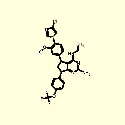 CCNc1nc(N)nc2c1C(c1ccc(-n3cnc(Cl)c3)c(OC)c1)CC2c1ccc(OC(F)(F)F)cc1